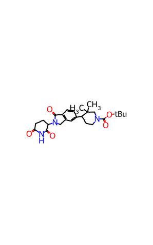 CC(C)(C)OC(=O)N1CCC(c2ccc3c(c2)CN(C2CCC(=O)NC2=O)C3=O)C(C)(C)C1